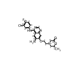 CC1CN(CCOc2cc3ncnc(Nc4ccc(F)c(Cl)c4)c3cc2N)CC(=O)O1